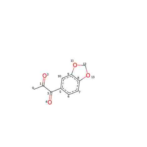 CC(=O)C(=O)c1ccc2c(c1)OCO2